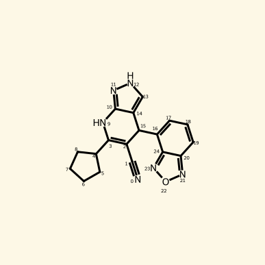 N#CC1=C(C2CCCC2)Nc2n[nH]cc2C1c1cccc2nonc12